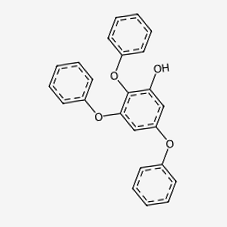 Oc1cc(Oc2ccccc2)cc(Oc2ccccc2)c1Oc1ccccc1